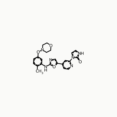 Cc1ccc(ON2CCOCC2)cc1Nc1ncc(-c2ccnc(-n3cc[nH]c3=O)c2)o1